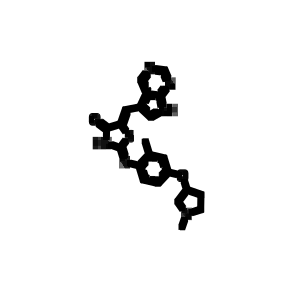 Cc1cc(OC2CCN(C)C2)ccc1/N=C1/NC(=O)/C(=C/c2c[nH]c3ncncc23)S1